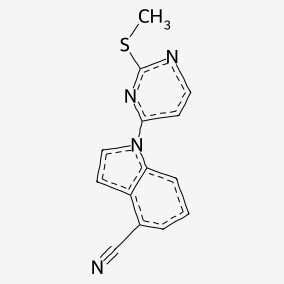 CSc1nccc(-n2ccc3c(C#N)cccc32)n1